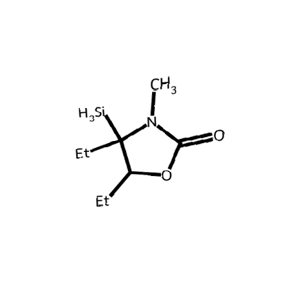 CCC1OC(=O)N(C)C1([SiH3])CC